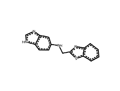 c1ccc2sc(CNc3ccc4[nH]cnc4c3)nc2c1